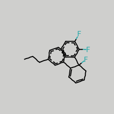 CCCc1cccc(C2=CC=CCC2(F)c2cccc(F)c2F)c1